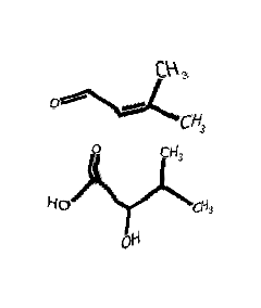 CC(C)=CC=O.CC(C)C(O)C(=O)O